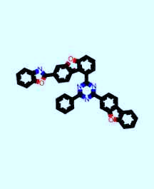 c1ccc(-c2nc(-c3ccc4c(c3)oc3ccccc34)nc(-c3cccc4oc5cc(-c6nc7ccccc7o6)ccc5c34)n2)cc1